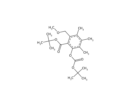 COCc1c(C)c(C)c(C)c(OC(=O)OC(C)(C)C)c1C(=O)OC(C)(C)C